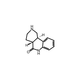 O=C1Nc2ccccc2[C@@H]2CNCC[C@@H]12